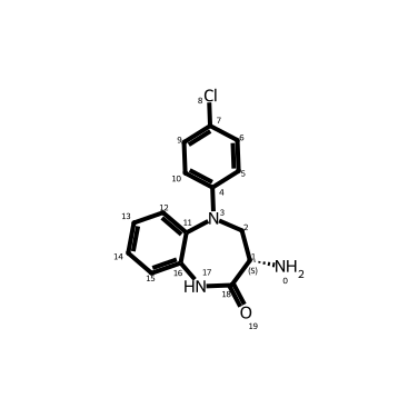 N[C@H]1CN(c2ccc(Cl)cc2)c2ccccc2NC1=O